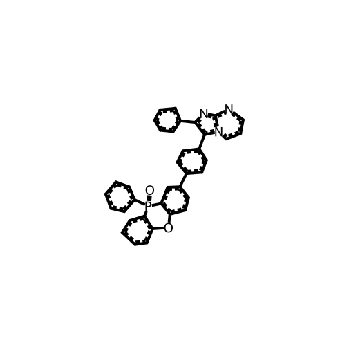 O=P1(c2ccccc2)c2ccccc2Oc2ccc(-c3ccc(-c4c(-c5ccccc5)nc5ncccn45)cc3)cc21